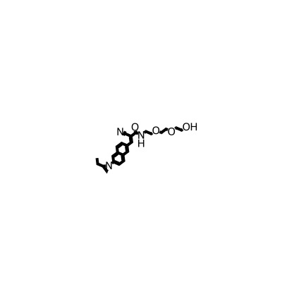 CCC1CN1c1ccc2cc(/C=C(\C#N)C(=O)NCCOCCOCCO)ccc2c1